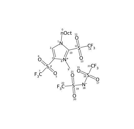 CCCCCCCCn1cc(S(=O)(=O)C(F)(F)F)[n+](C)c1S(=O)(=O)C(F)(F)F.O=S(=O)([N-]S(=O)(=O)C(F)(F)F)C(F)(F)F